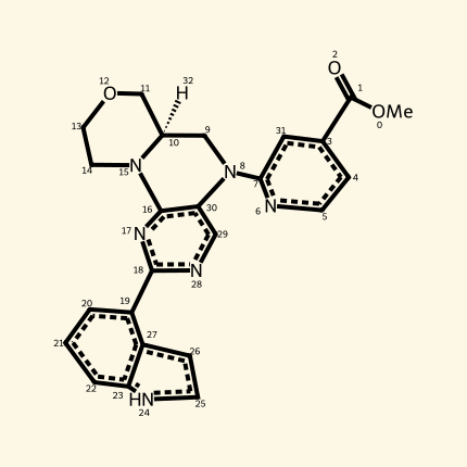 COC(=O)c1ccnc(N2C[C@@H]3COCCN3c3nc(-c4cccc5[nH]ccc45)ncc32)c1